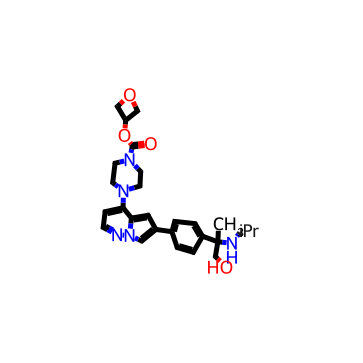 CC(C)NC(C)(CO)c1ccc(-c2cc3c(N4CCN(C(=O)OC5COC5)CC4)ccnn3c2)cc1